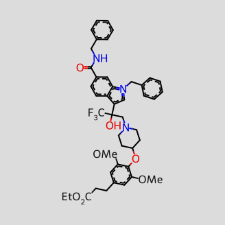 CCOC(=O)CCc1cc(OC)c(OC2CCN(CC(O)(c3cn(Cc4ccccc4)c4cc(C(=O)NCc5ccccc5)ccc34)C(F)(F)F)CC2)c(OC)c1